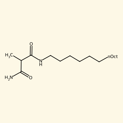 CCCCCCCCCCCCCCNC(=O)C(C)C(N)=O